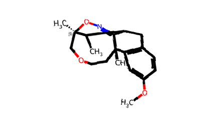 COc1ccc2c(c1)C1(C)CCOC[C@@]3(C)ON=C1C(C2)C3C